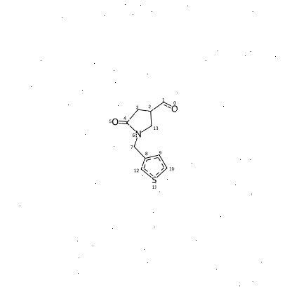 O=CC1CC(=O)N(Cc2ccsc2)C1